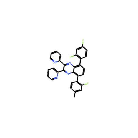 Cc1ccc(-c2ccc(-c3ccc(F)cc3F)c3nc(-c4ccccn4)c(-c4ccccn4)nc23)c(F)c1